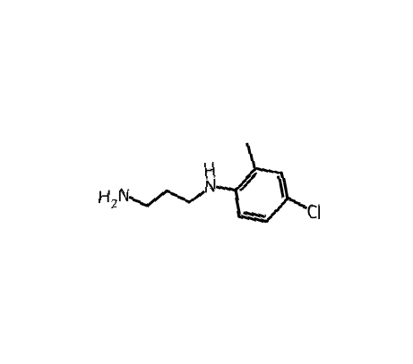 Cc1cc(Cl)ccc1NCCCN